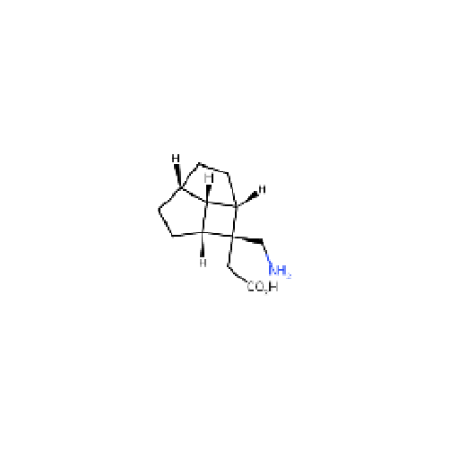 NC[C@@]1(CC(=O)O)[C@@H]2CC[C@@H]3CC[C@H]1[C@@H]32